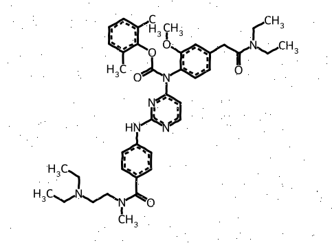 CCN(CC)CCN(C)C(=O)c1ccc(Nc2nccc(N(C(=O)Oc3c(C)cccc3C)c3ccc(CC(=O)N(CC)CC)cc3OC)n2)cc1